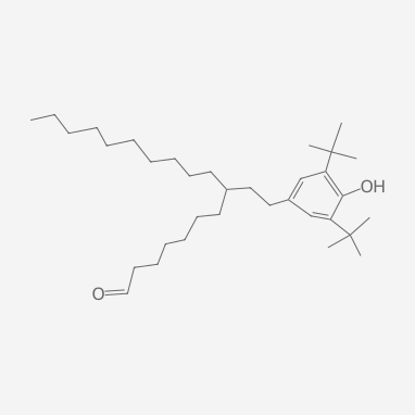 CCCCCCCCCCC(CCCCCCC=O)CCc1cc(C(C)(C)C)c(O)c(C(C)(C)C)c1